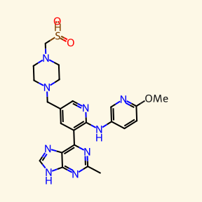 COc1ccc(Nc2ncc(CN3CCN(C[SH](=O)=O)CC3)cc2-c2nc(C)nc3[nH]cnc23)cn1